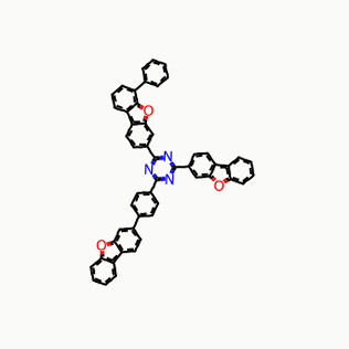 c1ccc(-c2cccc3c2oc2cc(-c4nc(-c5ccc(-c6ccc7c(c6)oc6ccccc67)cc5)nc(-c5ccc6c(c5)oc5ccccc56)n4)ccc23)cc1